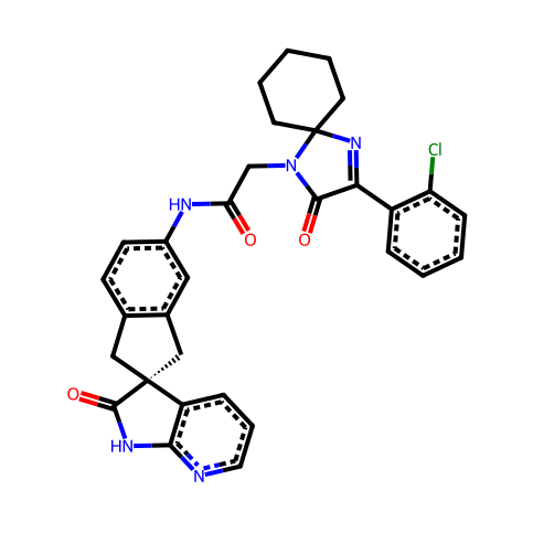 O=C(CN1C(=O)C(c2ccccc2Cl)=NC12CCCCC2)Nc1ccc2c(c1)C[C@@]1(C2)C(=O)Nc2ncccc21